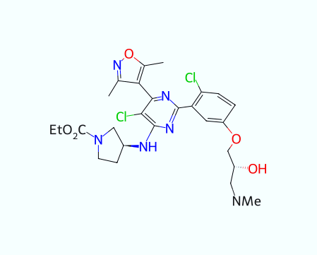 CCOC(=O)N1CC[C@H](Nc2nc(-c3cc(OC[C@H](O)CNC)ccc3Cl)nc(-c3c(C)noc3C)c2Cl)C1